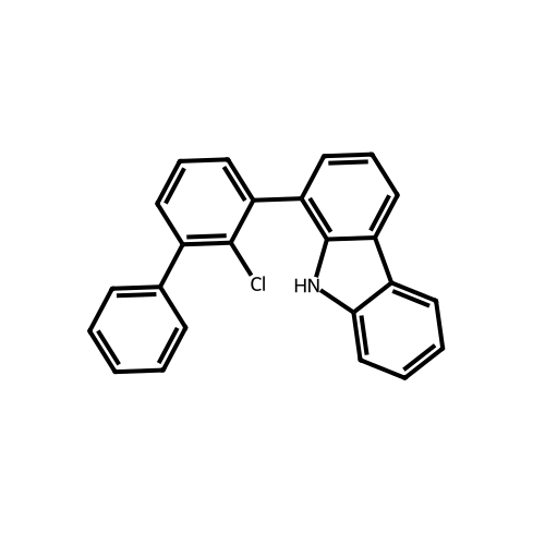 Clc1c(-c2ccccc2)cccc1-c1cccc2c1[nH]c1ccccc12